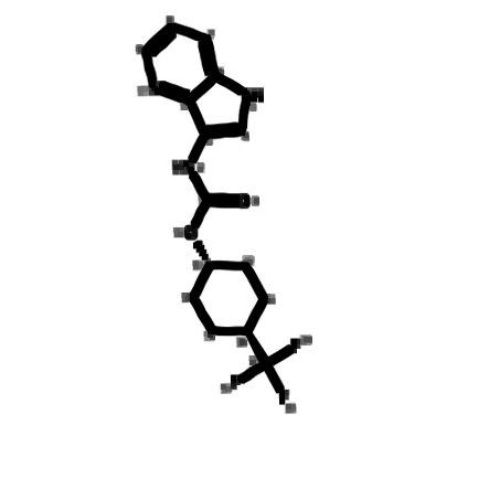 O=C(Nc1c[nH]c2cccnc12)O[C@H]1CC[C@H](C(F)(F)F)CC1